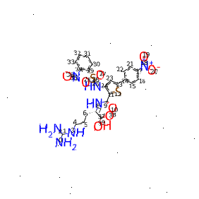 NC(N)NCCC[C@H](NC(=O)c1sc(-c2ccc([N+](=O)[O-])cc2)cc1NS(=O)(=O)c1ccccc1N=O)C(=O)O